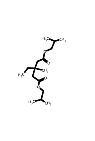 CCC(C)(CC(=O)OCC(C)C)CC(=O)OCC(C)C